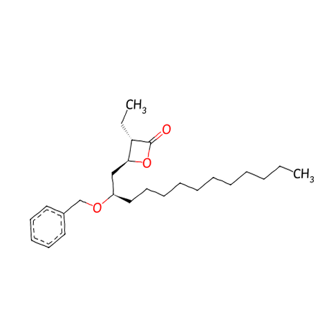 CCCCCCCCCCC[C@H](C[C@@H]1OC(=O)[C@H]1CC)OCc1ccccc1